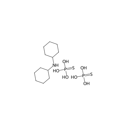 C1CCC(NC2CCCCC2)CC1.OP(O)(O)=S.OP(O)(O)=S